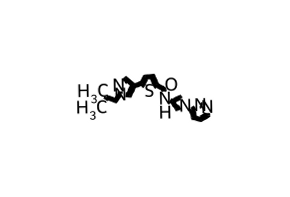 CC(C)Cn1cc(-c2ccc(C(=O)NC3CN(c4cccnn4)C3)s2)cn1